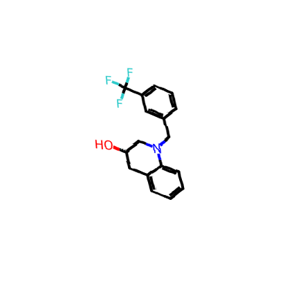 OC1Cc2ccccc2N(Cc2cccc(C(F)(F)F)c2)C1